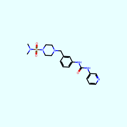 CN(C)S(=O)(=O)N1CCN(Cc2cccc(NC(=O)Nc3cccnc3)c2)CC1